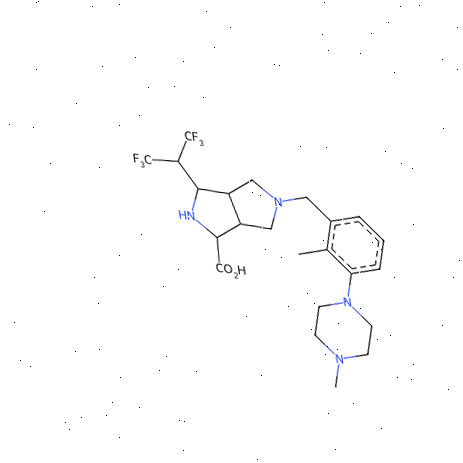 Cc1c(CN2CC3C(C(=O)O)NC(C(C(F)(F)F)C(F)(F)F)C3C2)cccc1N1CCN(C)CC1